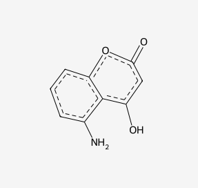 Nc1cccc2oc(=O)cc(O)c12